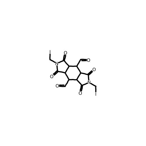 O=CC1C2C(=O)N(CI)C(=O)C2C(C=O)C2C(=O)N(CI)C(=O)C12